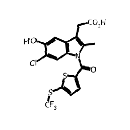 Cc1c(CC(=O)O)c2cc(O)c(Cl)cc2n1C(=O)c1ccc(SC(F)(F)F)s1